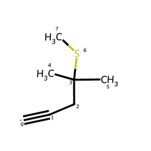 [C]#CCC(C)(C)SC